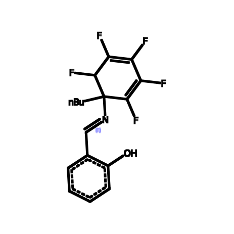 CCCCC1(/N=C/c2ccccc2O)C(F)=C(F)C(F)=C(F)C1F